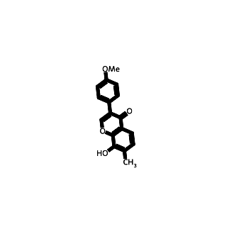 COc1ccc(-c2coc3c(O)c(C)ccc3c2=O)cc1